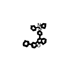 c1ccc(-c2ccc3oc4c5ccccc5c(-c5ccc(-n6c(-c7ccccc7)nc7ccccc76)cc5)cc4c3c2)cc1